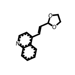 C(=CC1OCCO1)c1ccnc2ccccc12